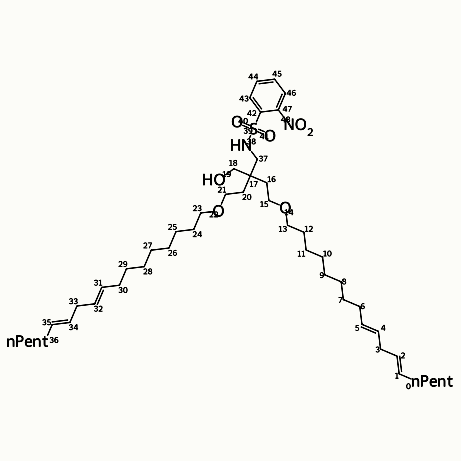 CCCCCC=CCC=CCCCCCCCCOCCC(CO)(CCOCCCCCCCCC=CCC=CCCCCC)CNS(=O)(=O)c1ccccc1[N+](=O)[O-]